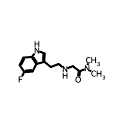 CN(C)C(=O)CNCCc1c[nH]c2ccc(F)cc12